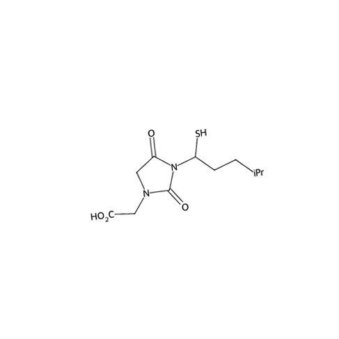 CC(C)CCC(S)N1C(=O)CN(CC(=O)O)C1=O